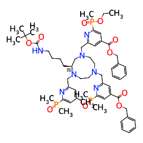 CCOP(C)(=O)c1cc(C(=O)OCc2ccccc2)cc(CN2CCN(Cc3cc(C(=O)OCc4ccccc4)cc(P(C)(C)=O)n3)CCN(Cc3cc(C)cc(P(C)(C)=O)n3)[C@@H](CCCCNC(=O)OC(C)(C)C)C2)n1